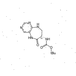 CC(C)(C)OC(=O)N[C@H]1CNc2ncncc2NC1=O